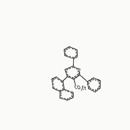 CCOC(=O)c1c(-c2cccc3ccccc23)cc(-c2ccccc2)nc1-c1ccccc1